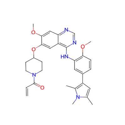 C=CC(=O)N1CCC(Oc2cc3c(Nc4cc(-c5cc(C)n(C)c5C)ccc4OC)ncnc3cc2OC)CC1